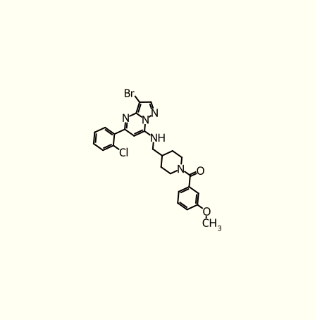 COc1cccc(C(=O)N2CCC(CNc3cc(-c4ccccc4Cl)nc4c(Br)cnn34)CC2)c1